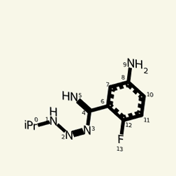 CC(C)N/N=N\C(=N)c1cc(N)ccc1F